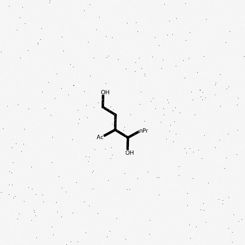 CCCC(O)C(CCO)C(C)=O